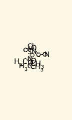 CCCN(C(=O)OC(C)(C)C)[C@H]1CC[C@H](N(Cc2cccc(-c3ccncc3)c2)C(=O)c2sc3ccccc3c2Cl)CC1